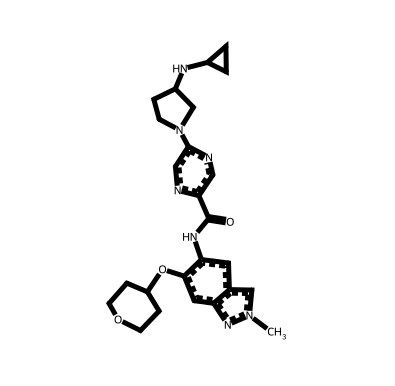 Cn1cc2cc(NC(=O)c3cnc(N4CCC(NC5CC5)C4)cn3)c(OC3CCOCC3)cc2n1